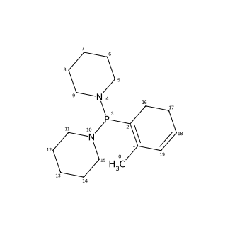 CC1=C(P(N2CCCCC2)N2CCCCC2)CCC=C1